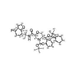 CC(C)(C)OC(=O)N1C[C@@H](C(=O)NC(C)(C)c2ccc(F)c3ccoc23)OC[C@H]1CO[Si](c1ccccc1)(c1ccccc1)C(C)(C)C